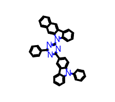 c1ccc(-c2nc(-c3ccc4c(c3)c3ccccc3n4-c3ccccc3)nc(-n3c4ccccc4c4cc5ccccc5cc43)n2)cc1